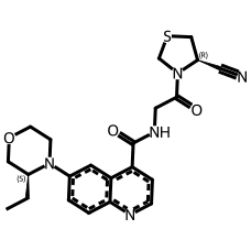 CC[C@H]1COCCN1c1ccc2nccc(C(=O)NCC(=O)N3CSC[C@H]3C#N)c2c1